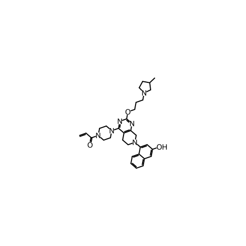 C=CC(=O)N1CCN(c2nc(OCCCN3CCC(C)C3)nc3c2CCN(c2cc(O)cc4ccccc24)C3)CC1